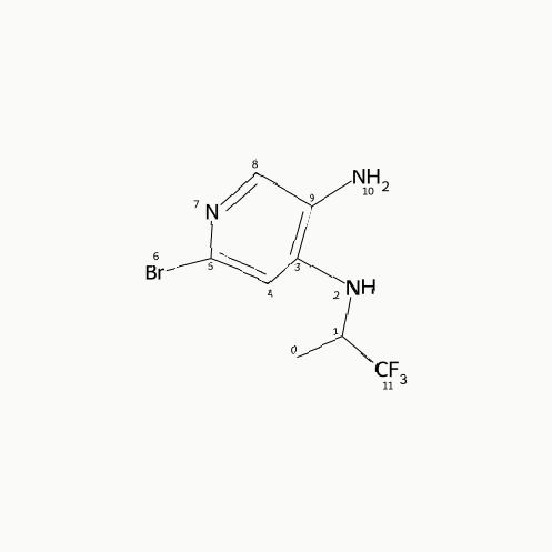 CC(Nc1cc(Br)ncc1N)C(F)(F)F